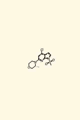 C[C@@H]1COCCN1c1cc(Cl)c2ccn(S(C)(=O)=O)c2n1